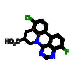 O=C(O)C1CCCN(c2ncnc3c(F)ccc(-c4ccc(Cl)cc4)c23)C1